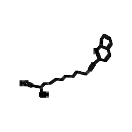 C#CC(O)CCCCCCCCC#Cc1ccc2ccccc2n1